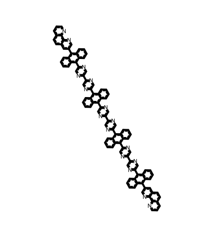 c1cnc2c(c1)ccc1cc(-c3c4ccccc4c(-c4cnc(-c5cnc(-c6c7ccccc7c(-c7cnc(-c8cnc(-c9c%10ccccc%10c(-c%10cnc(-c%11cnc(-c%12c%13ccccc%13c(-c%13cnc%14c(ccc%15cccnc%15%14)c%13)c%13ccccc%12%13)cn%11)cn%10)c%10ccccc9%10)cn8)cn7)c7ccccc67)cn5)cn4)c4ccccc34)cnc12